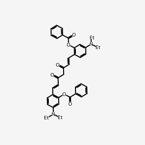 CCN(CC)c1ccc(/C=C/C(=O)CC(=O)/C=C/c2ccc(N(CC)CC)cc2OC(=O)c2ccccc2)c(OC(=O)c2ccccc2)c1